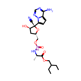 CCC(CC)COC(=O)[C@H](C)N[PH](=O)OC[C@@H]1C[C@@H](O)[C@](C#N)(c2ccc3c(N)ncnn23)O1